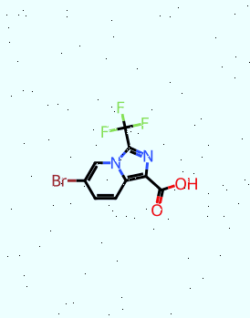 O=C(O)c1nc(C(F)(F)F)n2cc(Br)ccc12